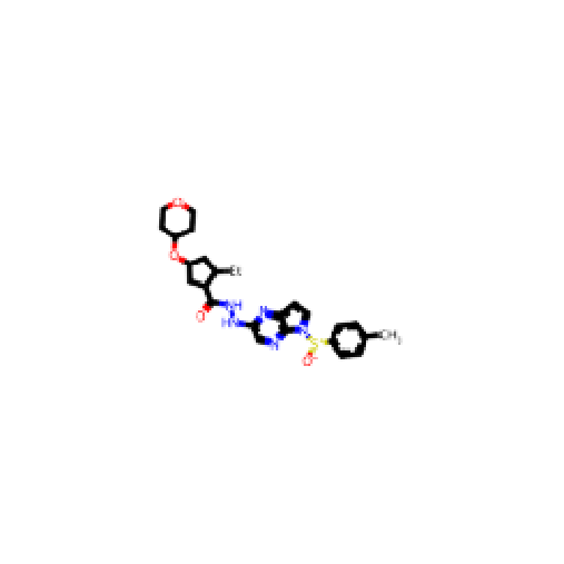 CCC1CC(OC2CCOCC2)CC1C(=O)NNc1cnc2c(ccn2[S+]([O-])c2ccc(C)cc2)n1